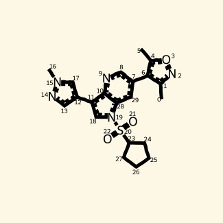 Cc1noc(C)c1-c1cnc2c(-c3cnn(C)c3)cn(S(=O)(=O)C3CCCC3)c2c1